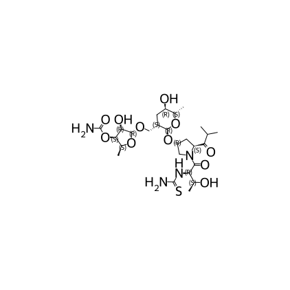 CC(C)C(=O)[C@@H]1C[C@@H](O[C@@H]2O[C@@H](C)[C@H](O)C[C@H]2CO[C@@H]2O[C@@H](C)[C@@H](OC(N)=O)[C@H]2O)CN1C(=O)[C@H](NC(N)=S)[C@H](C)O